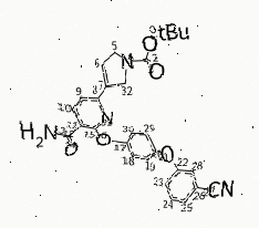 CC(C)(C)OC(=O)N1CC=C(c2ccc(C(N)=O)c(Oc3ccc(Oc4cccc(C#N)c4)cc3)n2)C1